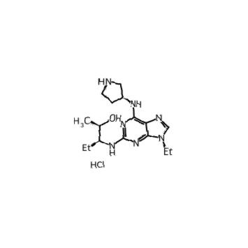 CC[C@H](Nc1nc(N[C@H]2CCNC2)c2ncn(CC)c2n1)[C@@H](C)O.Cl